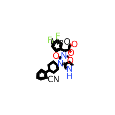 COC(=O)C1OC(=O)N(C(=O)N(C2CCC(c3ccccc3C#N)CC2)[C@@H]2CCNC2)C1c1ccc(F)c(F)c1